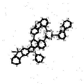 CC1(C)c2ccccc2-c2cc3c(cc21)c1cc(-c2ccc4oc5cccc(-c6nc(-c7ccccc7)nc(-c7cccc8c7sc7ccccc78)n6)c5c4c2)ccc1n3-c1ccccc1